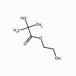 CC(C)(O)C(=O)OCCO